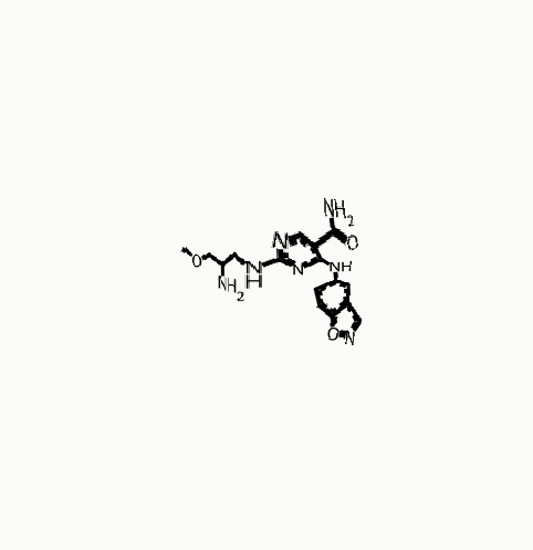 COCC(N)CNc1ncc(C(N)=O)c(Nc2ccc3oncc3c2)n1